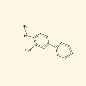 CC(C)Nc1ccc(-c2ccccc2)cc1N